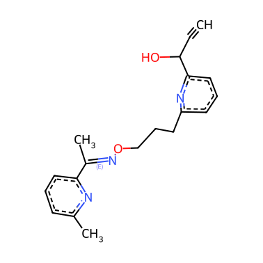 C#CC(O)c1cccc(CCCO/N=C(\C)c2cccc(C)n2)n1